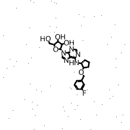 OCC1OC(n2cnc3c(NC4CCCC4OCc4cccc(F)c4)ncnc32)C(O)C1O